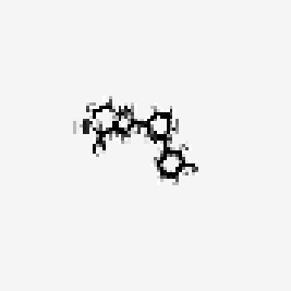 Cc1cccc(-c2nccc(-c3cc4n(n3)CCNC4=O)n2)c1